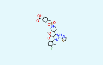 COC(=O)C1=C(C2CCN(S(=O)(=O)Cc3ccc(C(=O)O)cc3)CC2)NC(c2nccs2)=N[C@H]1c1cccc(F)c1C